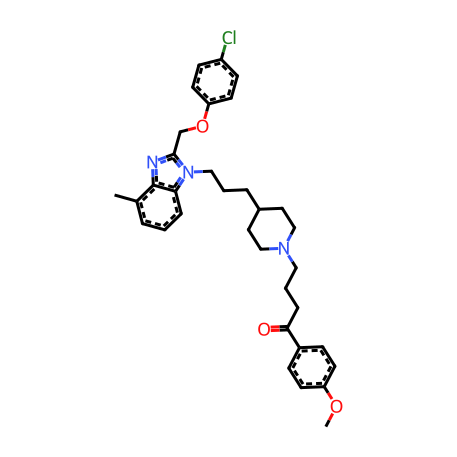 COc1ccc(C(=O)CCCN2CCC(CCCn3c(COc4ccc(Cl)cc4)nc4c(C)cccc43)CC2)cc1